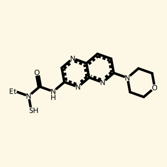 CCN(S)C(=O)Nc1cnc2ccc(N3CCOCC3)nc2n1